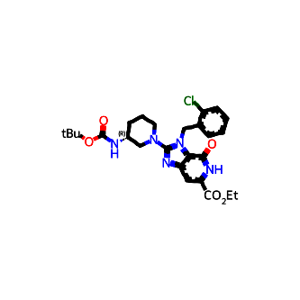 CCOC(=O)c1cc2nc(N3CCC[C@@H](NC(=O)OC(C)(C)C)C3)n(Cc3ccccc3Cl)c2c(=O)[nH]1